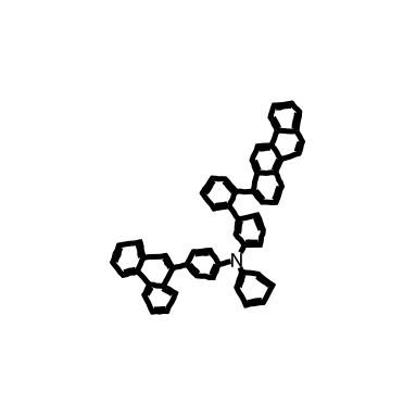 c1ccc(N(c2ccc(-c3cc4ccccc4c4ccccc34)cc2)c2cccc(-c3ccccc3-c3cccc4c3ccc3c5ccccc5ccc43)c2)cc1